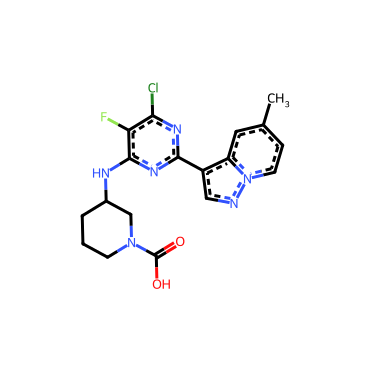 Cc1ccn2ncc(-c3nc(Cl)c(F)c(NC4CCCN(C(=O)O)C4)n3)c2c1